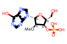 CO[C@@H]1[C@H](OP(=O)(O)O)[C@@H](CO)O[C@H]1n1cnc2c(O)ncnc21